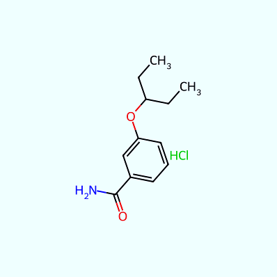 CCC(CC)Oc1cccc(C(N)=O)c1.Cl